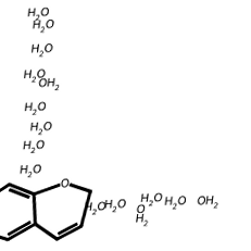 C1=Cc2ccccc2OC1.O.O.O.O.O.O.O.O.O.O.O.O.O.O.O